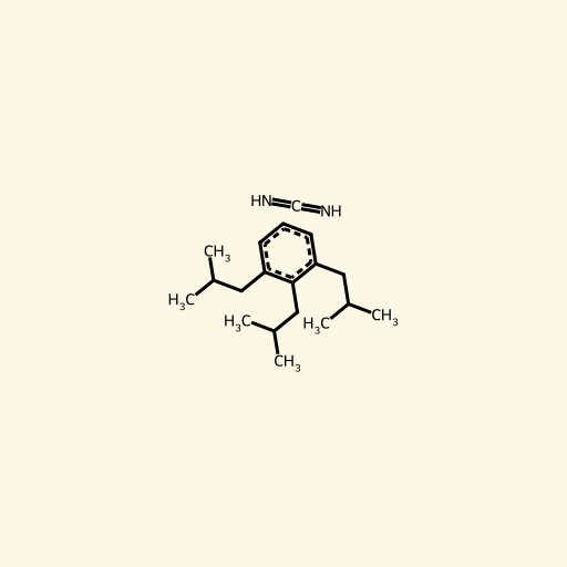 CC(C)Cc1cccc(CC(C)C)c1CC(C)C.N=C=N